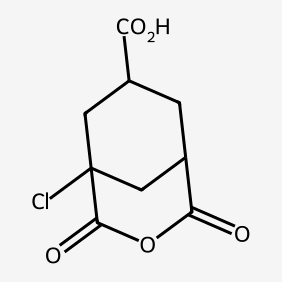 O=C(O)C1CC2CC(Cl)(C1)C(=O)OC2=O